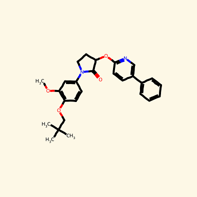 COc1cc(N2CCC(Oc3ccc(-c4ccccc4)cn3)C2=O)ccc1OCC(C)(C)C